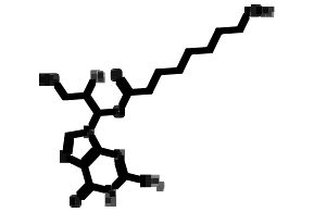 CCCCCCCCCCCCCCCCCC(=O)OC(C(CC)CO)n1cnc2c(=O)[nH]c(N)nc21